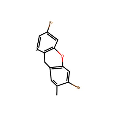 Cc1cc2c(cc1Br)Oc1cc(Br)cbc1C2